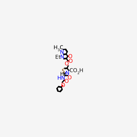 CCn1cc(C(=O)OCC2=CS[C@@H]3[C@H](NC(=O)COc4ccccc4)C(=O)N3[C@H]2C(=O)O)c(=O)c2ccc(C)nc21